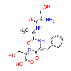 C[C@H](NC(=O)[C@@H](N)CO)C(=O)N[C@H](Cc1ccccc1)C(=O)N[C@H](CO)C(=O)O